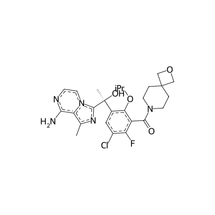 Cc1nc([C@@](C)(O)c2cc(Cl)c(F)c(C(=O)N3CCC4(CC3)COC4)c2OC(C)C)n2ccnc(N)c12